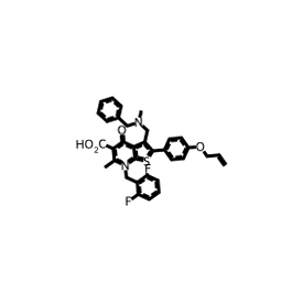 C=CCOc1ccc(-c2sc3c(c2CN(C)Cc2ccccc2)c(=O)c(C(=O)O)c(C)n3Cc2c(F)cccc2F)cc1